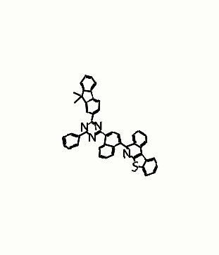 CC1(C)c2ccccc2-c2ccc(-c3nc(-c4ccccc4)nc(-c4ccc(-c5nc6sc7ccccc7c6c6ccccc56)c5ccccc45)n3)cc21